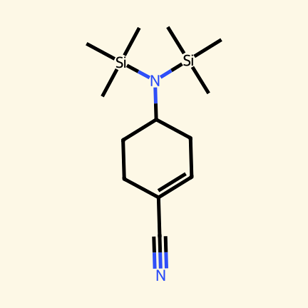 C[Si](C)(C)N(C1CC=C(C#N)CC1)[Si](C)(C)C